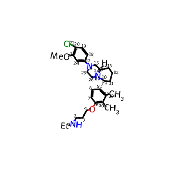 CCNCCCOc1ccc([C@H]2CCC[C@H]3CN(c4ccc(Cl)c(OC)c4)CCN32)c(C)c1C